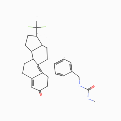 CC(C)(C)NC(=O)NCc1ccc([C@H]2C[C@@]3(C)C(CC[C@@]3(O)C(F)(F)C(F)(F)F)C3CCC4=CC(=O)CCC4=C32)cc1